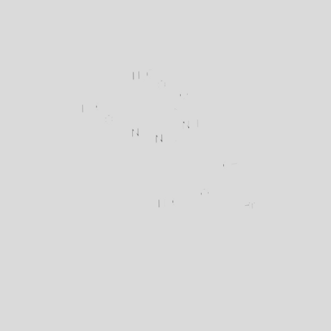 COc1cc(OC)c2c(=O)[nH]c(-c3cc(C)c(OCCBr)c(C)c3)nc2n1